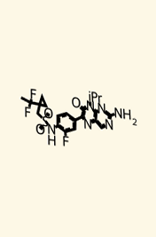 CC(C)n1c(=O)c(-c2ccc(NS(=O)(=O)CC3(C(C)(F)F)CC3)c(F)c2)nc2cnc(N)nc21